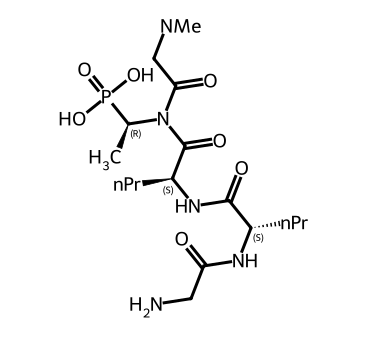 CCC[C@H](NC(=O)CN)C(=O)N[C@@H](CCC)C(=O)N(C(=O)CNC)[C@@H](C)P(=O)(O)O